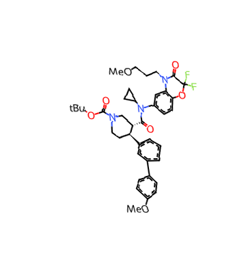 COCCCN1C(=O)C(F)(F)Oc2ccc(N(C(=O)[C@H]3CN(C(=O)OC(C)(C)C)CC[C@@H]3c3cccc(-c4ccc(OC)cc4)c3)C3CC3)cc21